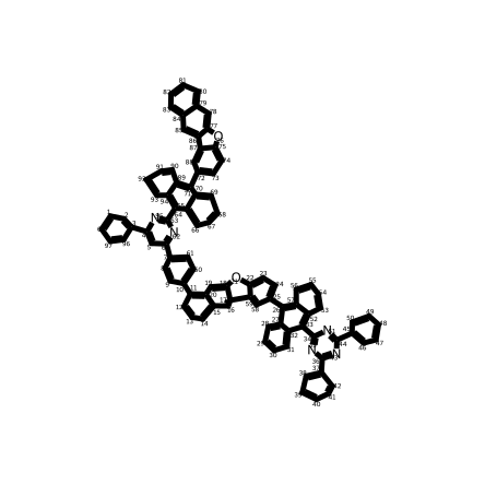 c1ccc(-c2cc(-c3ccc(-c4cccc5cc6c(cc45)oc4ccc(-c5c7ccccc7c(-c7nc(-c8ccccc8)nc(-c8ccccc8)n7)c7ccccc57)cc46)cc3)nc(-c3c4ccccc4c(-c4ccc5oc6cc7ccccc7cc6c5c4)c4ccccc34)n2)cc1